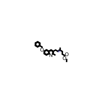 CCOC(=O)CC/C(C)=C/Cc1cc2cc(OCc3ccccc3)ccc2nc1C